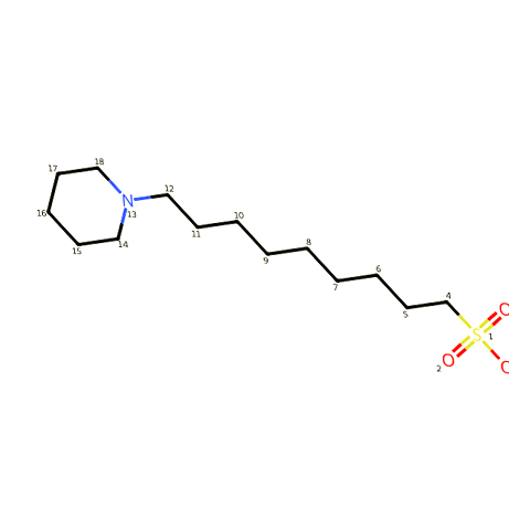 O=S(=O)(O)CCCCCCCCCN1CCCCC1